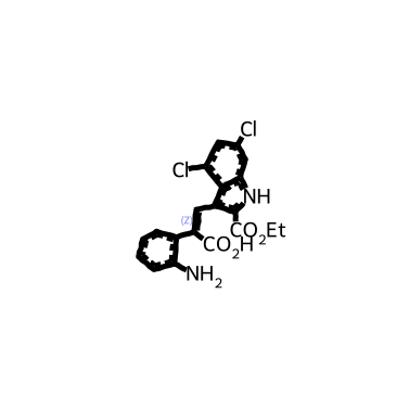 CCOC(=O)c1[nH]c2cc(Cl)cc(Cl)c2c1/C=C(\C(=O)O)c1ccccc1N